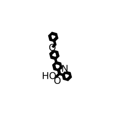 O=C(O)c1c2ccccc2nc2cc(-c3ccc(OCc4ccccc4)cc3)ccc12